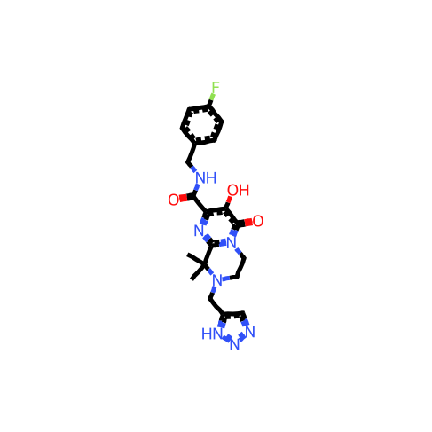 CC1(C)c2nc(C(=O)NCc3ccc(F)cc3)c(O)c(=O)n2CCN1Cc1cnn[nH]1